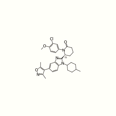 COc1ccc(N2C(=O)CCC[C@H]2c2nc3cc(-c4c(C)noc4C)ccc3n2C2CCC(C)CC2)cc1Cl